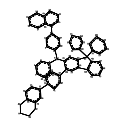 c1ccc(N(c2ccc(-c3cccc4ccccc34)cc2)c2cc3c(cc2-c2ccc(-c4ccc5c(c4)CCCC5)cc2)-c2ccccc2C3(c2ccccc2)c2ccccc2)cc1